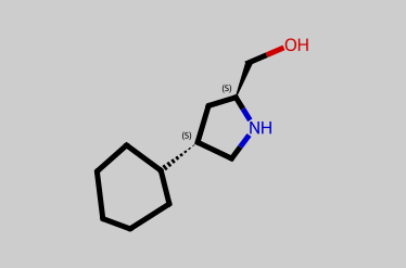 OC[C@@H]1C[C@@H](C2CCCCC2)CN1